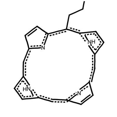 OCCc1c2nc(cc3ccc(cc4nc(cc5ccc1[nH]5)C=C4)[nH]3)C=C2